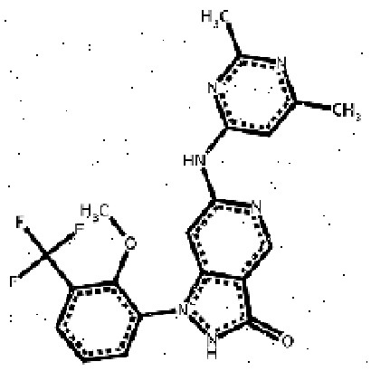 COc1c(-n2[nH]c(=O)c3cnc(Nc4cc(C)nc(C)n4)cc32)cccc1C(F)(F)F